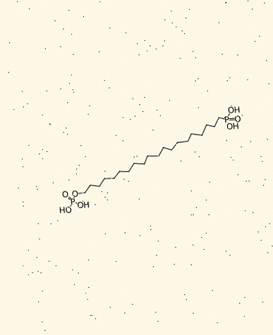 O=P(O)(O)CCCCCCCCCCCCCCCCCCCCOP(=O)(O)O